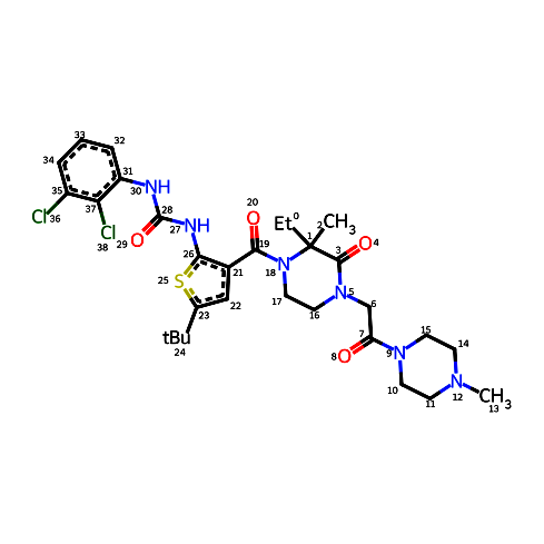 CCC1(C)C(=O)N(CC(=O)N2CCN(C)CC2)CCN1C(=O)c1cc(C(C)(C)C)sc1NC(=O)Nc1cccc(Cl)c1Cl